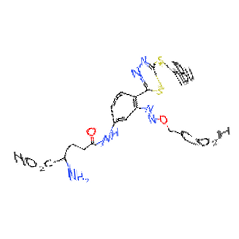 CCCCSc1nnc(-c2ccc(NC(=O)CCC(N)C(=O)O)cc2N=NOCC(=O)O)s1